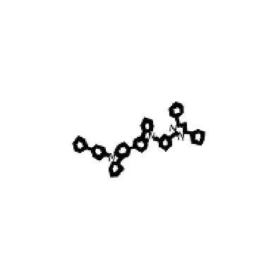 c1ccc(-c2ccc(-n3c4ccccc4c4cc(-c5ccc6c(c5)c5ccccc5n6-c5cccc(-c6nc(-c7ccccc7)cc(-c7ccccc7)n6)c5)ccc43)cc2)cc1